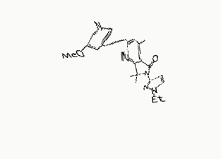 CCn1ccc(N2C(=O)c3c(C)cc(-c4cncc(OC)c4)nc3C2(C)C)n1